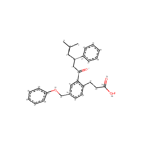 CC(C)CC(CC(=O)c1cc(COc2ccccc2)ccc1CCC(=O)O)c1ccccc1